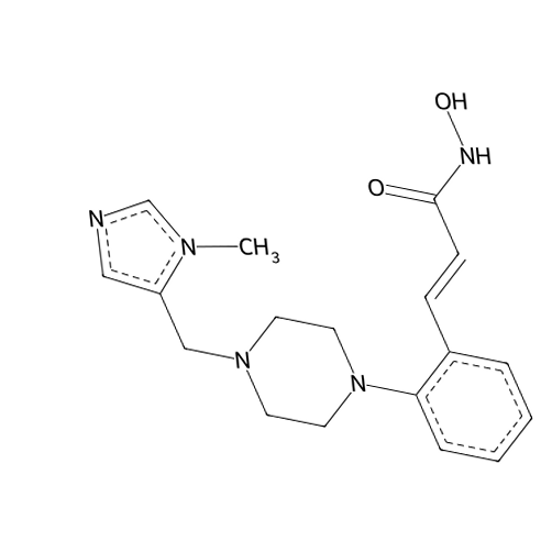 Cn1cncc1CN1CCN(c2ccccc2C=CC(=O)NO)CC1